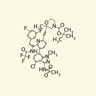 Cn1nc(NS(C)(=O)=O)c2c(Cl)ccc(-c3ccc(C#CC4(C)CN(C(=O)OC(C)(C)C)CCO4)nc3[C@H](Cc3cc(F)cc(F)c3)NC(=O)C(F)(F)F)c21